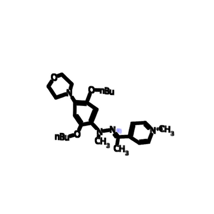 CCCCOc1cc(N(C)/N=C(\C)c2cc[n+](C)cc2)c(OCCCC)cc1N1CCOCC1